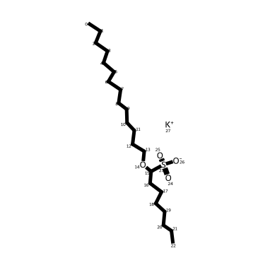 CCCCCCCCCCCCCCOC(CCCCCCC)S(=O)(=O)[O-].[K+]